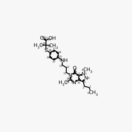 CCCc1nn(C)c2c(=O)n(CCCNc3ccc(SC(C)(C)C(=O)O)cc3)c(C)nc12